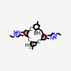 Bc1c2cc(C)cc1Cc1cc(C)cc(c1OCc1cn(CC)nn1)Cc1cc(C)cc(c1B)Cc1cc(C)cc(c1OCc1cn(CC)nn1)C2